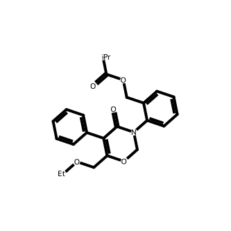 CCOCC1=C(c2ccccc2)C(=O)N(c2ccccc2COC(=O)C(C)C)CO1